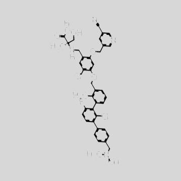 Cc1c(COc2cc(OCc3cncc(C#N)c3)c(CN[C@@](C)(CO)C(=O)O)cc2Cl)cccc1-c1c(F)ccc(-c2ccc(CN(C)C)cc2)c1Cl